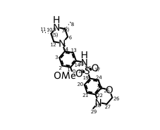 COc1ccc(N2C[C@@H](C)N[C@@H](C)C2)cc1NS(=O)(=O)c1ccc2c(c1)OCCN2C